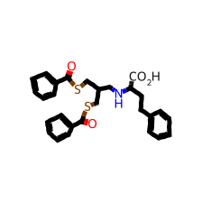 O=C(SCC(CNC(CCc1ccccc1)C(=O)O)CSC(=O)c1ccccc1)c1ccccc1